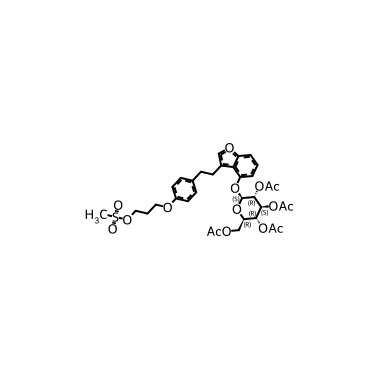 CC(=O)OC[C@H]1O[C@@H](Oc2cccc3occ(CCc4ccc(OCCCOS(C)(=O)=O)cc4)c23)[C@H](OC(C)=O)[C@@H](OC(C)=O)[C@@H]1OC(C)=O